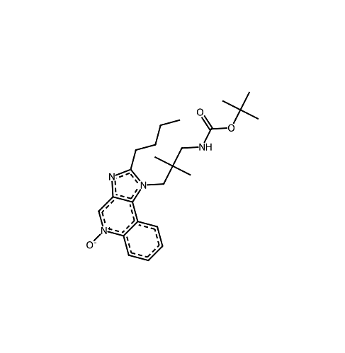 CCCCc1nc2c[n+]([O-])c3ccccc3c2n1CC(C)(C)CNC(=O)OC(C)(C)C